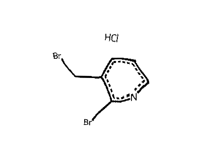 BrCc1cccnc1Br.Cl